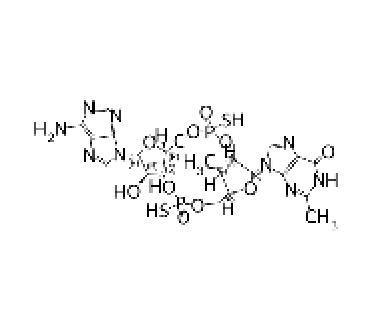 Cc1nc2c(ncn2[C@@H]2O[C@@H]3COP(=O)(S)O[C@H]4[C@@H](O)[C@H](n5cnc6c(N)ncnc65)O[C@@H]4COP(=O)(S)O[C@@H]2[C@@H]3C)c(=O)[nH]1